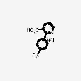 Cl.O=C(O)c1cccnc1-c1ccc(C(F)(F)F)cc1